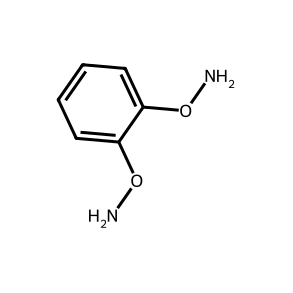 NOc1ccccc1ON